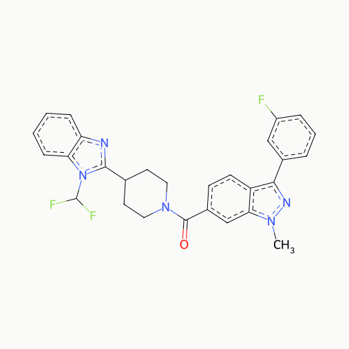 Cn1nc(-c2cccc(F)c2)c2ccc(C(=O)N3CCC(c4nc5ccccc5n4C(F)F)CC3)cc21